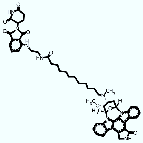 CO[C@@H]1[C@H](N(C)CCCCCCCCCCCC(=O)NCCNc2cccc3c2C(=O)N(C2CCC(=O)NC2=O)C3=O)C[C@H]2O[C@]1(C)n1c3ccccc3c3c4c(c5c6ccccc6n2c5c31)C(=O)NC4